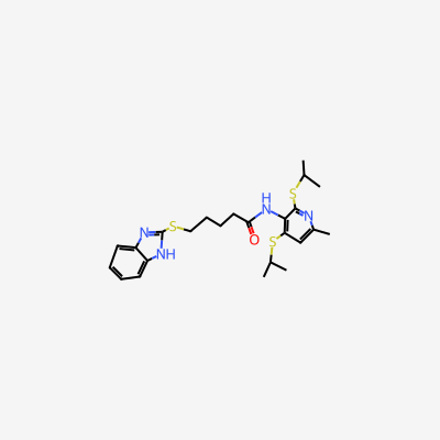 Cc1cc(SC(C)C)c(NC(=O)CCCCSc2nc3ccccc3[nH]2)c(SC(C)C)n1